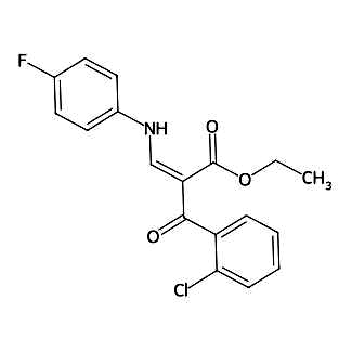 CCOC(=O)C(=CNc1ccc(F)cc1)C(=O)c1ccccc1Cl